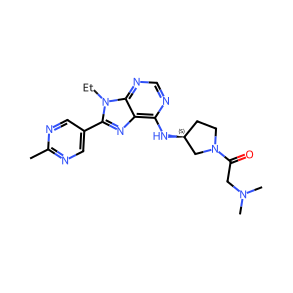 CCn1c(-c2cnc(C)nc2)nc2c(N[C@H]3CCN(C(=O)CN(C)C)C3)ncnc21